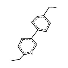 CCc1ccc(-c2ccc(CC)nc2)cc1